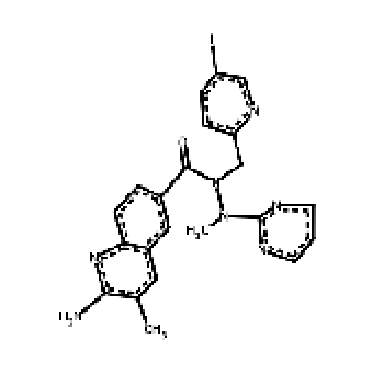 Cc1cc2cc(C(=O)N(Cc3ccc(I)cn3)N(C)c3ncccn3)ccc2nc1N